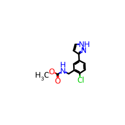 COC(=O)NCc1cc(-c2cc[nH]n2)ccc1Cl